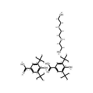 CC(C)(C)c1cc(C(=O)O)cc(C(C)(C)C)c1O.CC(C)(C)c1cc(C(=O)O)cc(C(C)(C)C)c1O.OCCOCCOCCO